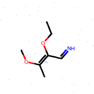 CCO/C(C=N)=C(/C)OC